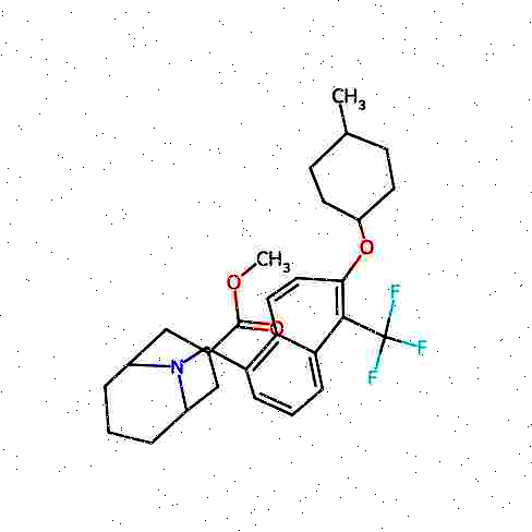 COC(=O)C1CC2CCCC(C1)N2Cc1cccc2c(C(F)(F)F)c(OC3CCC(C)CC3)ccc12